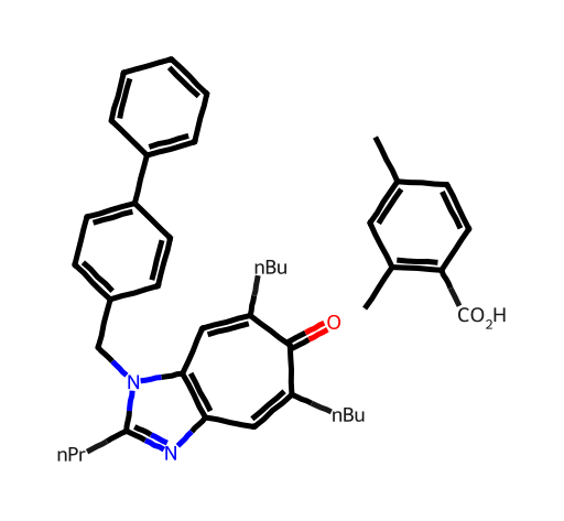 CCCCc1cc2nc(CCC)n(Cc3ccc(-c4ccccc4)cc3)c2cc(CCCC)c1=O.Cc1ccc(C(=O)O)c(C)c1